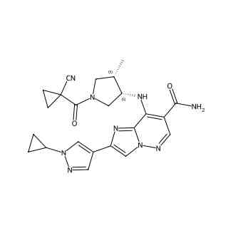 C[C@H]1CN(C(=O)C2(C#N)CC2)C[C@H]1Nc1c(C(N)=O)cnn2cc(-c3cnn(C4CC4)c3)nc12